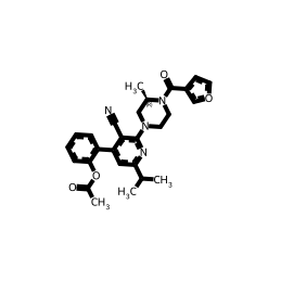 CC(=O)Oc1ccccc1-c1cc(C(C)C)nc(N2CCN(C(=O)c3ccoc3)[C@H](C)C2)c1C#N